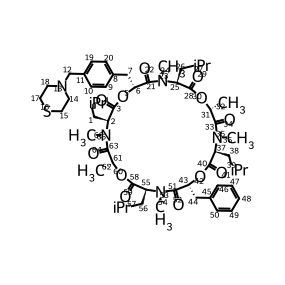 CC(C)C[C@H]1C(=O)O[C@H](Cc2ccc(CN3CCSCC3)cc2)C(=O)N(C)[C@@H](CC(C)C)C(=O)O[C@H](C)C(=O)N(C)[C@@H](CC(C)C)C(=O)O[C@H](Cc2ccccc2)C(=O)N(C)[C@@H](CC(C)C)C(=O)O[C@H](C)C(=O)N1C